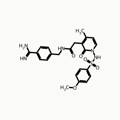 COc1ccc(S(=O)(=O)Nn2ccc(C)c(CC(=O)NCc3ccc(C(=N)N)cc3)c2=O)cc1